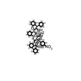 COC(=O)N(C(=O)[C@@H](N)C(c1ccccc1)c1ccccc1)c1ccccc1SC[C@@H](CO[Si](c1ccccc1)(c1ccccc1)C(C)(C)C)N(CCC(C)C)S(=O)(=O)c1ccc([N+](=O)[O-])cc1